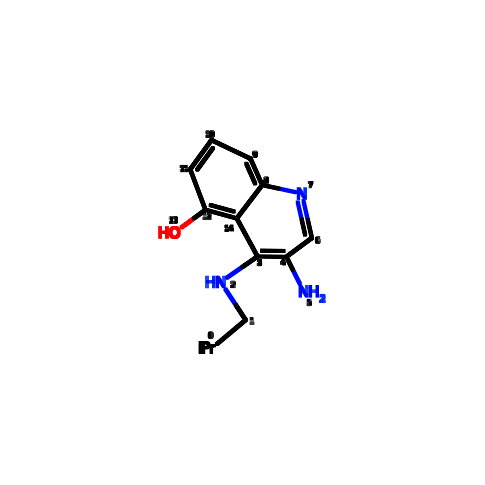 CC(C)CNc1c(N)cnc2cccc(O)c12